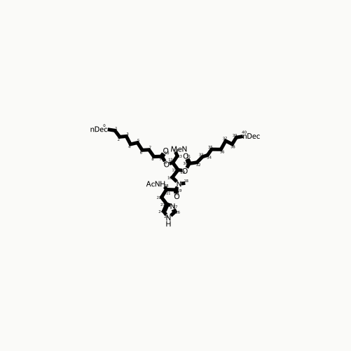 CCCCCCCCCCCCCCCCCCC(=O)OC(CNC)C(CN(C)C(=O)C(Cc1c[nH]cn1)NC(C)=O)OC(=O)CCCCCCCCCCCCCCCCCC